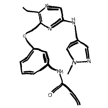 C=CC(=O)Nc1cccc(Oc2nc(Nc3cnn(C)c3)cnc2C)c1